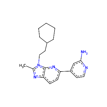 Cc1nc2ccc(-c3ccnc(N)c3)nc2n1CCC1CCCCC1